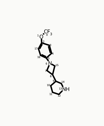 FC(F)(F)Oc1ccc(N2CC(C3CCCNC3)C2)cc1